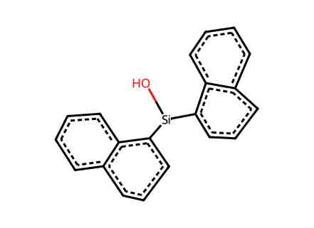 O[Si](c1cccc2ccccc12)c1cccc2ccccc12